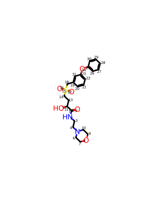 O=C(NCCN1CCOCC1)C(O)CCS(=O)(=O)Cc1cccc(Oc2ccccc2)c1